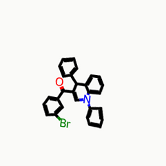 O=C(C1=CN(c2ccccc2)c2ccccc2C1c1ccccc1)c1cccc(Br)c1